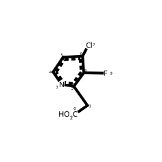 O=C(O)Cc1nccc(Cl)c1F